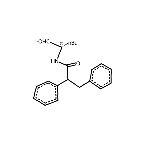 CCCC[C@@H]([C]=O)NC(=O)C(Cc1ccccc1)c1ccccc1